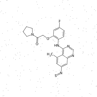 Cc1cc(N=S)cc2ncnc(Nc3ccc(F)cc3OCC(=O)N3CCCC3)c12